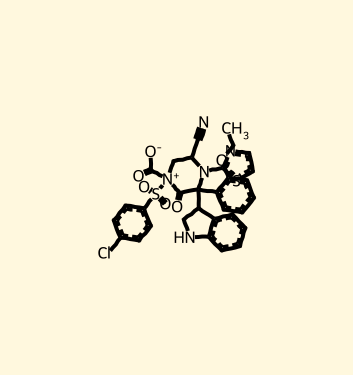 CCOc1ccccc1C1(C2CNc3ccccc32)C(=O)[N+](C(=O)[O-])(S(=O)(=O)c2ccc(Cl)cc2)CC(C#N)N1c1nccs1